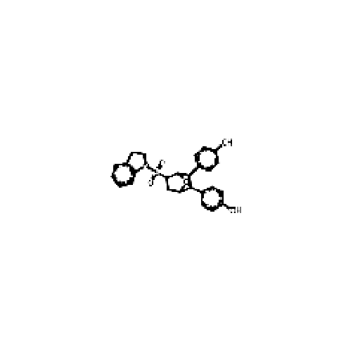 O=S(=O)(C1CC2OC1C(c1ccc(O)cc1)=C2c1ccc(O)cc1)N1CCc2ccccc21